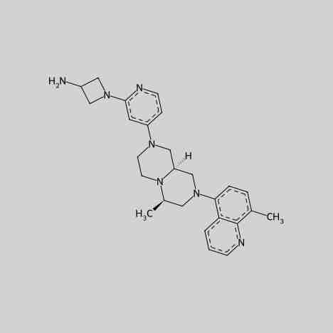 Cc1ccc(N2C[C@@H]3CN(c4ccnc(N5CC(N)C5)c4)CCN3[C@H](C)C2)c2cccnc12